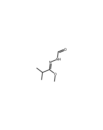 CO/C(=N\NC=O)C(C)C